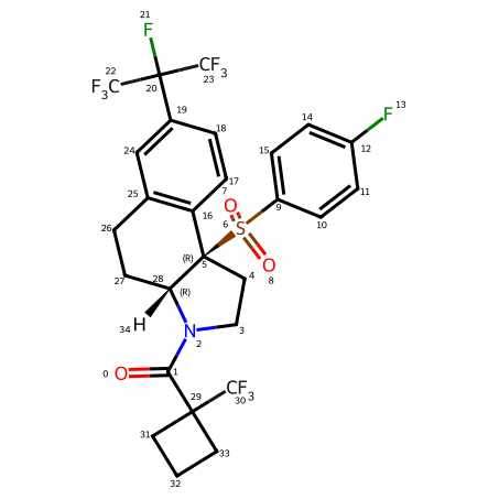 O=C(N1CC[C@@]2(S(=O)(=O)c3ccc(F)cc3)c3ccc(C(F)(C(F)(F)F)C(F)(F)F)cc3CC[C@@H]12)C1(C(F)(F)F)CCC1